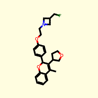 CC1=C(C2CCOC2)C(c2ccc(OCCN3CC(CF)C3)cc2)Oc2ccccc21